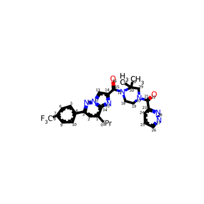 CC(C)c1cc(-c2ccc(C(F)(F)F)cc2)nn2cc(C(=O)N3CCN(C(=O)c4cccnn4)CC3(C)C)nc12